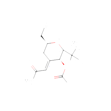 CCC(=O)O[C@H]1/C(=C/C(=O)OC)C[C@@H](CC(C)CC)O[C@@]1(OC)C(C)(C)C=O